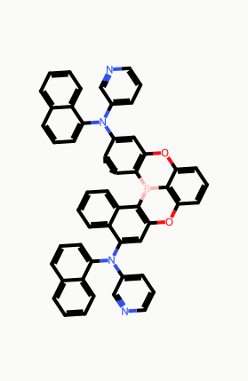 c1cncc(N(c2cccc3ccccc23)c2cc3c(c4ccccc24)B2c4c(cccc4Oc4cc(N(c5cccnc5)c5cccc6ccccc56)c5ccccc5c42)O3)c1